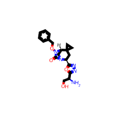 N[C@@H](CO)c1nnc([C@@H]2CC3(CC3)[C@H]3CN2C(=O)N3OCc2ccccc2)o1